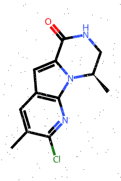 Cc1cc2cc3n(c2nc1Cl)[C@H](C)CNC3=O